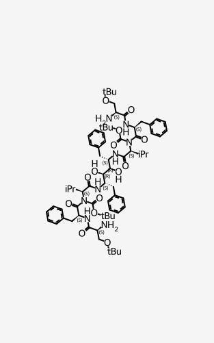 CC(C)[C@@H](C(=O)N[C@@H](Cc1ccccc1)[C@@H](O)[C@H](O)[C@H](Cc1ccccc1)NC(=O)[C@H](C(C)C)N(C(=O)OC(C)(C)C)C(=O)[C@H](Cc1ccccc1)NC(=O)[C@@H](N)COC(C)(C)C)N(C(=O)OC(C)(C)C)C(=O)[C@H](Cc1ccccc1)NC(=O)[C@@H](N)COC(C)(C)C